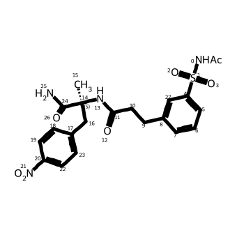 CC(=O)NS(=O)(=O)c1cccc(CCC(=O)N[C@@](C)(Cc2ccc([N+](=O)[O-])cc2)C(N)=O)c1